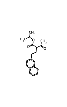 CC(=O)C(CCc1ccc2ccccc2c1)C(=O)OC(C)C